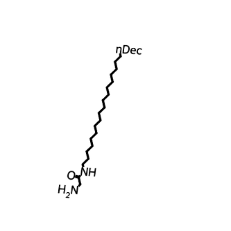 CCCCCCCCCCCCCCCCCCCCCCCCCCCCNC(=O)CN